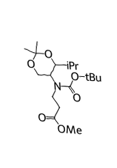 COC(=O)CCN(C(=O)OC(C)(C)C)C1COC(C)(C)OC1C(C)C